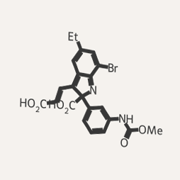 CCc1cc(Br)c2c(c1)=C(C=CC(=O)O)C(C(=O)O)(c1cccc(NC(=O)OC)c1)N=2